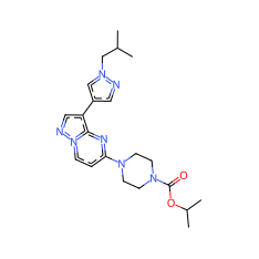 CC(C)Cn1cc(-c2cnn3ccc(N4CCN(C(=O)OC(C)C)CC4)nc23)cn1